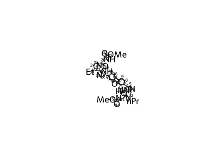 CCCN(Cc1ncc(-c2ccc3c(c2)oc2cc(-c4cnc([C@@H]5[C@H](CC)CCN5C(=O)CNC(=O)OC)[nH]4)ccc23)[nH]1)C(=O)CNC(=O)OC